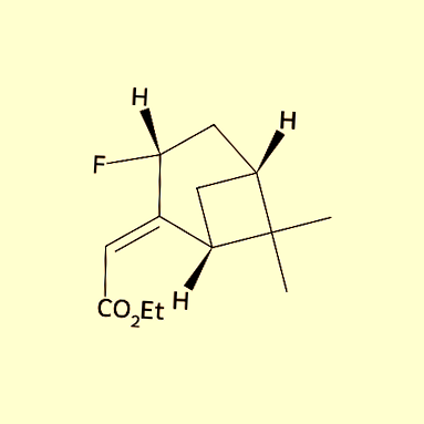 CCOC(=O)/C=C1/[C@H](F)C[C@H]2C[C@@H]1C2(C)C